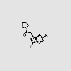 O=C(Cn1cc(F)c2ncc(Br)cc21)N1CCCC1